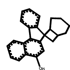 Oc1cc2c(c3ccccc13)-c1ccccc1C21CC2CCCCC21